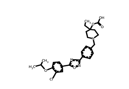 CCC1(OC(=O)O)CCN(Cc2ccc(-c3noc(-c4ccc(OC(C)C)c(Cl)c4)n3)cc2)CC1